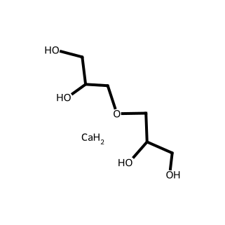 OCC(O)COCC(O)CO.[CaH2]